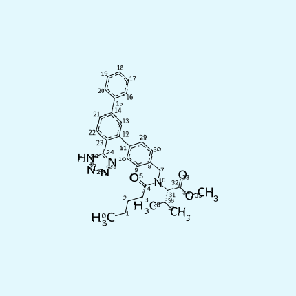 CCCCC(=O)N(Cc1ccc(-c2cc(-c3ccccc3)ccc2-c2nnn[nH]2)cc1)[C@H](C(=O)OC)C(C)C